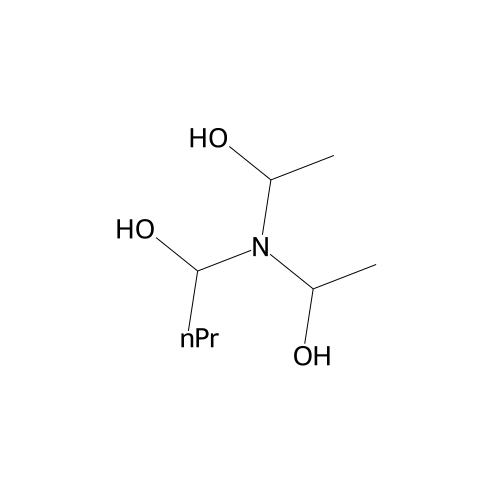 CCCC(O)N(C(C)O)C(C)O